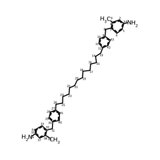 Cc1cc(N)ccc1Cc1ccc(CCCCCCCCCCCCCCc2ccc(Cc3ccc(N)cc3C)cc2)cc1